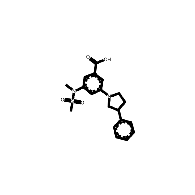 CN(c1cc(C(=O)O)cc(N2CCC(c3ccccc3)C2)c1)S(C)(=O)=O